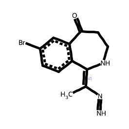 C/C(N=N)=C1/NCCC(=O)c2cc(Br)ccc21